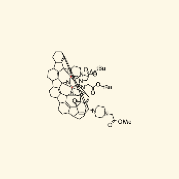 COC(=O)CN1CCN(C23C4=C5C6CCC4C4CCC7C(=C42)[C@@]24O[C@@]28C3=C2C3=C8C8(N9CCN(CC(=O)OC(C)(C)C)CC9)C9=C%10C(CCC9C9CCC7C4=C98)C4CCC6C(=C4C3%10N3CCN(CC(=O)OC(C)(C)C)CC3)C25N2CCN(CC(C)=O)CC2)CC1